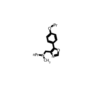 CCCN(C)Cc1ncoc1-c1ccc(OC(C)C)cc1